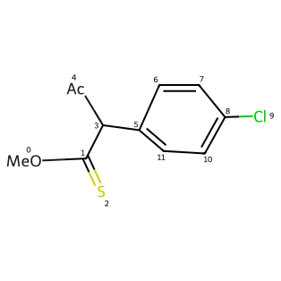 COC(=S)C(C(C)=O)c1ccc(Cl)cc1